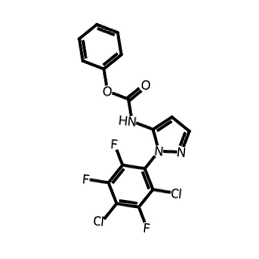 O=C(Nc1ccnn1-c1c(F)c(F)c(Cl)c(F)c1Cl)Oc1ccccc1